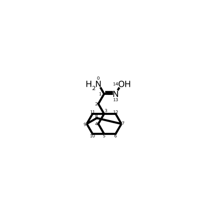 NC(CC12CC3CC(CC(C3)C1)C2)=NO